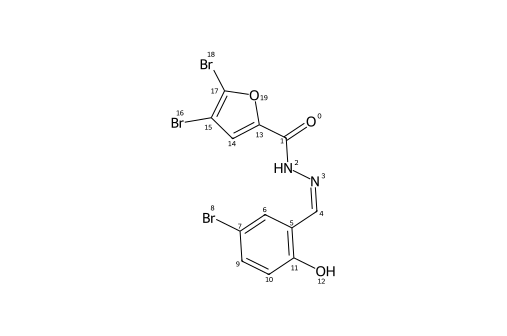 O=C(N/N=C\c1cc(Br)ccc1O)c1cc(Br)c(Br)o1